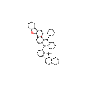 CC1(C)c2c(cccc2-c2c3ccccc3c(-c3ccccc3-c3ccc4oc5ccccc5c4c3)c3ccccc23)-c2ccc3ccccc3c21